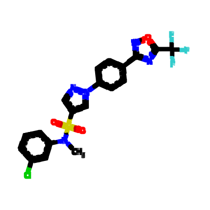 CN(c1cccc(Cl)c1)S(=O)(=O)c1cnn(-c2ccc(-c3noc(C(F)(F)F)n3)cc2)c1